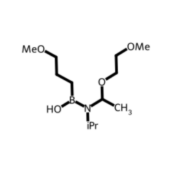 COCCCB(O)N(C(C)C)C(C)OCCOC